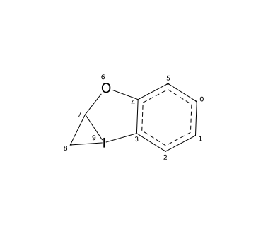 c1ccc2c(c1)OC1CI21